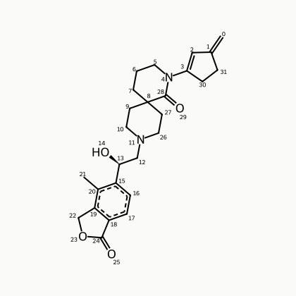 C=C1C=C(N2CCCC3(CCN(C[C@H](O)c4ccc5c(c4C)COC5=O)CC3)C2=O)CC1